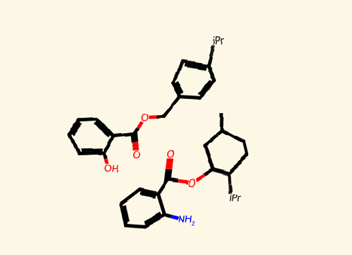 CC(C)c1ccc(COC(=O)c2ccccc2O)cc1.CC1CCC(C(C)C)C(OC(=O)c2ccccc2N)C1